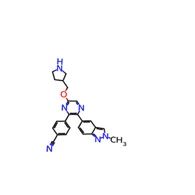 Cn1cc2cc(-c3ncc(OCC4CCNC4)nc3-c3ccc(C#N)cc3)ccc2n1